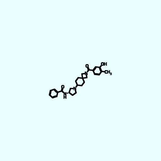 Cc1ccc(C(=O)N2CC3(CCC(N4CC[C@H](NC(=O)c5ccccc5)C4)CC3)C2)cc1O